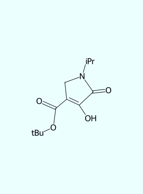 CC(C)N1CC(C(=O)OC(C)(C)C)=C(O)C1=O